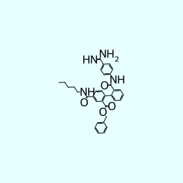 CCCCCNC(=O)c1ccc(-c2ccccc2C(=O)Nc2ccc(C(=N)N)cc2)c(C(=O)OCc2ccccc2)c1